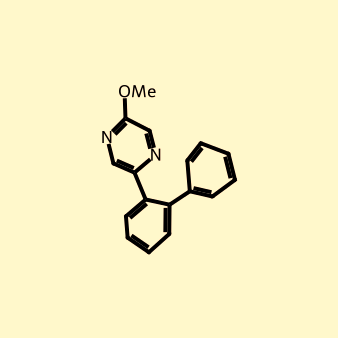 COc1cnc(-c2ccccc2-c2ccccc2)cn1